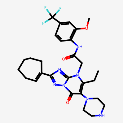 CCc1c(N2CCNCC2)c(=O)n2nc(C3=CCCCCC3)nc2n1CC(=O)Nc1ccc(C(F)(F)F)cc1OC